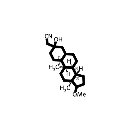 COC1CC[C@H]2[C@@H]3CCC4CC(O)(CC#N)CC[C@]4(C)[C@@H]3CC[C@]12C